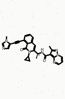 Cc1nn2cccnc2c1C(=O)N[C@@H](C)c1cc2cccc(C#Cc3cncn3C)c2c(=O)n1C1CC1